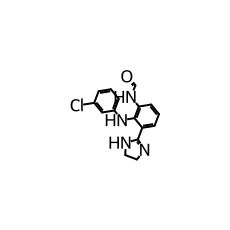 O=CNc1cccc(C2=NCCN2)c1Nc1cccc(Cl)c1